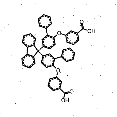 O=C(O)c1cccc(Oc2ccc(C3(c4ccc(Oc5cccc(C(=O)O)c5)c(-c5ccccc5)c4)c4ccccc4-c4ccccc43)cc2-c2ccccc2)c1